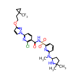 CN(c1cccc(S(=O)(=O)NC(=O)c2ccc(-n3ccc(OCCC4(C(F)(F)F)CC4)n3)nc2Cl)n1)C1CCC(C)(C)N1